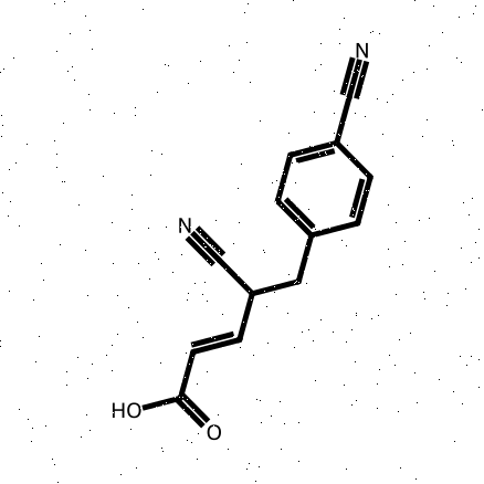 N#Cc1ccc(CC(C#N)C=CC(=O)O)cc1